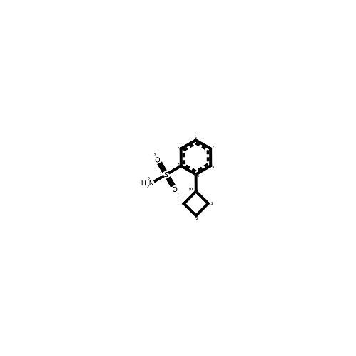 NS(=O)(=O)c1ccccc1C1CCC1